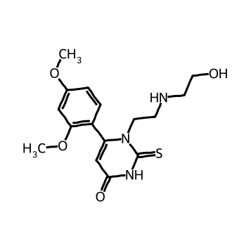 COc1ccc(-c2cc(=O)[nH]c(=S)n2CCNCCO)c(OC)c1